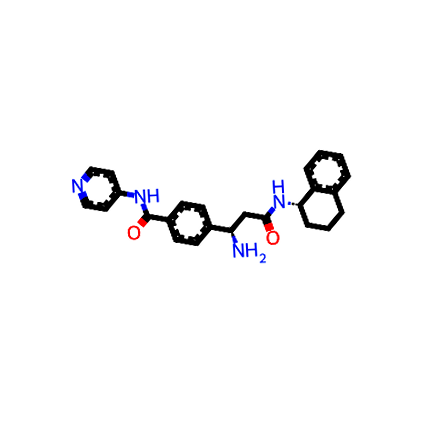 N[C@H](CC(=O)N[C@H]1CCCc2ccccc21)c1ccc(C(=O)Nc2ccncc2)cc1